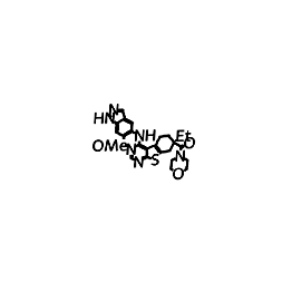 CC[C@@]1(C(=O)N2CCOCC2)CCc2c(sc3ncnc(Nc4cc5cn[nH]c5cc4OC)c23)C1